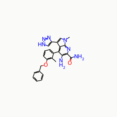 Cc1c(OCc2ccccc2)cccc1-c1c(N)c(C(N)=O)nc2c1c(-c1c[nH]nn1)cn2C